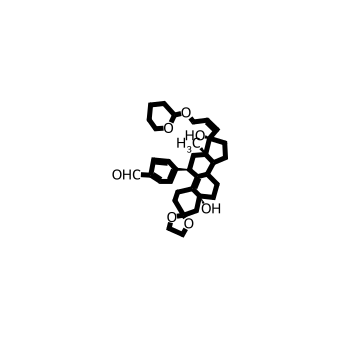 C[C@]12C[C@H](c3ccc(C=O)cc3)C3=C4CCC5(C[C@]4(O)CCC3C1CC[C@@]2(O)/C=C\COC1CCCCO1)OCCO5